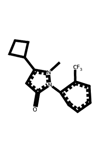 Cn1c(C2CCC2)cc(=O)n1-c1ccccc1C(F)(F)F